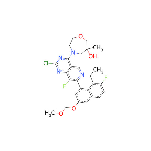 CCc1c(F)ccc2cc(OCOC)cc(-c3ncc4c(N5CCOCC(C)(O)C5)nc(Cl)nc4c3F)c12